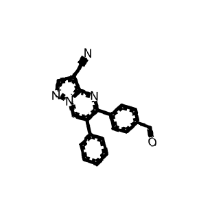 N#Cc1cnn2cc(-c3ccccc3)c(-c3ccc(C=O)cc3)nc12